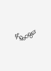 O=C(Oc1ccc(Oc2ccc(C(F)(F)F)cn2)cc1)N1CCSCC1